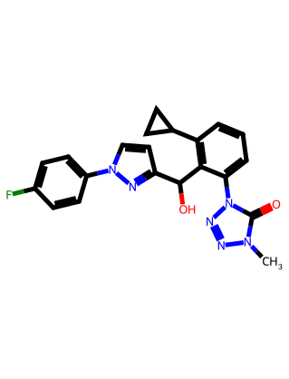 Cn1nnn(-c2cccc(C3CC3)c2C(O)c2ccn(-c3ccc(F)cc3)n2)c1=O